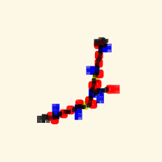 CCCOC(=O)NCCOCCOCCNC(=O)CSCC(=O)OCCN(CCOC(=O)CSCC(=O)NCCOCCOCCNC(=O)OCCC)CC(=O)NCCCO